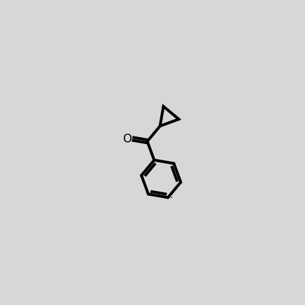 O=C(c1cc[c]cc1)C1CC1